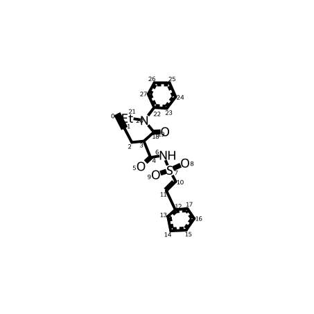 C#CCC(C(=O)NS(=O)(=O)/C=C/c1ccccc1)C(=O)N(CC)c1ccccc1